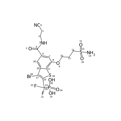 N#CCCNC(=O)c1cc(OCCCS(N)(=O)=O)c2sc(C(F)(F)P(=O)(O)O)c(Br)c2c1